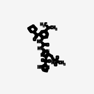 CN(C)c1ccc(NC(=O)Nc2nc(CNS(C)(=O)=O)c(S(=O)(=O)c3ncc[nH]3)s2)c(C(=O)C2CCCC2)c1